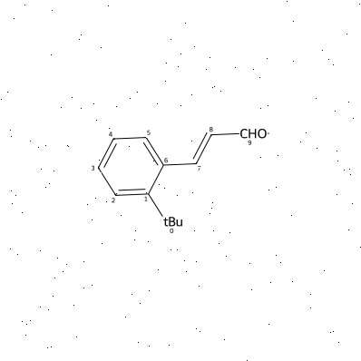 CC(C)(C)c1ccccc1C=C[C]=O